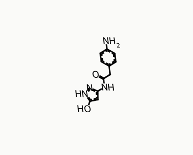 Nc1ccc(CC(=O)Nc2cc(O)[nH]n2)cc1